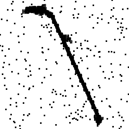 N/C(=C\N(N)CCOCCOCCOCCOCCOCCOCCOCCOCCOCCOCCOCCOCCOCCOCCOCCOCCC(=O)Oc1c(F)cc(F)cc1F)COCCOCCOCCOCCOC1CCC2(CC1)CN(c1nc(Cl)nc3c1cnn3[C@@H]1O[C@H](COCP(=O)(O)O)[C@@H](O)[C@H]1O)C2